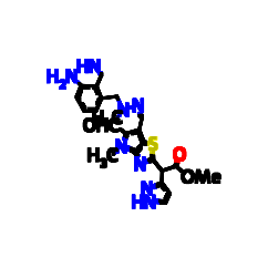 COC(=O)C(c1cc[nH]n1)c1nc2c(s1)c(/C=N\N(C)Cc1cccc(N)c1C=N)c(C=O)n2C